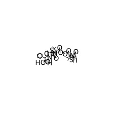 CC1(C)S[C@@H]2[C@H](NC(=O)C(C(=O)O)c3ccccc3)C(=O)N2[C@H]1C(=O)OCOC(=O)[C@@H]1N2C(=O)C[C@H]2SC1(C)C